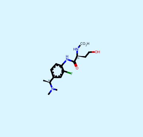 C[C@@H](c1ccc(NC(=O)[C@H](CCO)NC(=O)O)c(F)c1)N(C)C